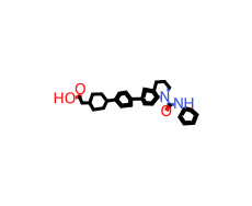 O=C(O)CC1CCC(c2ccc(-c3ccc4c(c3)CCCN4C(=O)Nc3ccccc3)cc2)CC1